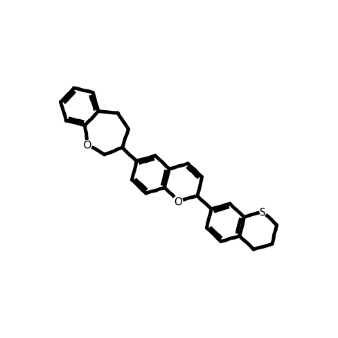 C1=CC(c2ccc3c(c2)SCCC3)Oc2ccc(C3CCc4ccccc4OC3)cc21